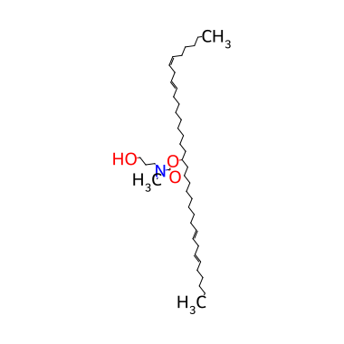 CCCCCC=CCC=CCCCCCCCCC(CCCCCCCCC=CC/C=C\CCCCC)OC(=O)N(C)CCCO